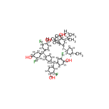 Cc1ccc(Cc2cc(C(C)(C)C)c(O)c(C(C)(C)C)c2)cc1.Oc1ccc(C(c2ccc(C(c3ccc(O)c(F)c3)c3ccc(O)c(F)c3)cc2)c2ccc(O)c(F)c2)cc1F